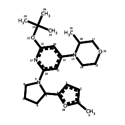 Cc1ccc(C2CCCN2c2cc(N3CCOCC3C)cc(OC(C)(C)C)n2)o1